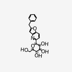 OC[C@H]1O[C@@H](c2ccc3oc(Cc4ccccc4)cc3n2)[C@H](O)[C@@H](O)[C@@H]1O